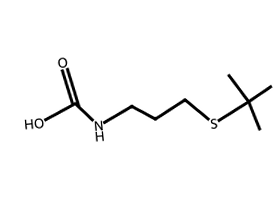 CC(C)(C)SCCCNC(=O)O